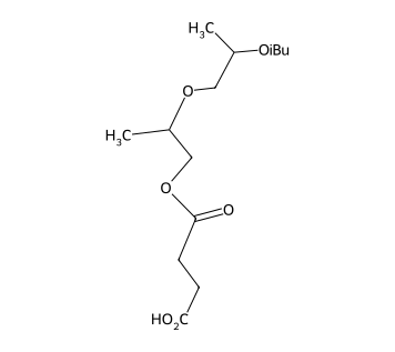 CC(C)COC(C)COC(C)COC(=O)CCC(=O)O